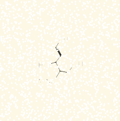 CC=CC(O)C(CO)NC(C)=O